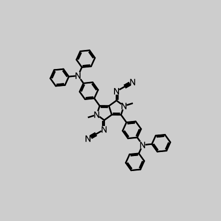 CN1C(=NC#N)C2=C(c3ccc(N(c4ccccc4)c4ccccc4)cc3)N(C)C(=NC#N)C2=C1c1ccc(N(c2ccccc2)c2ccccc2)cc1